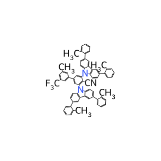 Cc1cc(-c2cc(-n3c4ccc(-c5ccccc5C)cc4c4cc(-c5ccccc5C)ccc43)c(C#N)c(-n3c4ccc(-c5ccccc5C)cc4c4cc(-c5ccccc5C)ccc43)c2)cc(C(F)(F)F)c1